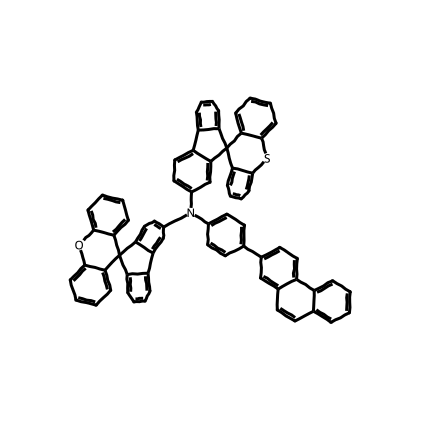 c1ccc2c(c1)Oc1ccccc1C21c2ccccc2-c2cc(N(c3ccc(-c4ccc5c(ccc6ccccc65)c4)cc3)c3ccc4c(c3)C3(c5ccccc5Sc5ccccc53)c3ccccc3-4)ccc21